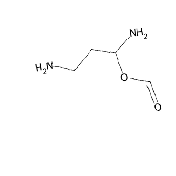 NCCC(N)OC=O